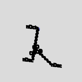 CCCCCCCC/C=C\CCCCCCCCCC(=O)O[C@@H](COC(=O)CCCCCCCCCCCCC)COC(=O)CCCCCCCCCCCCCCCCCCC